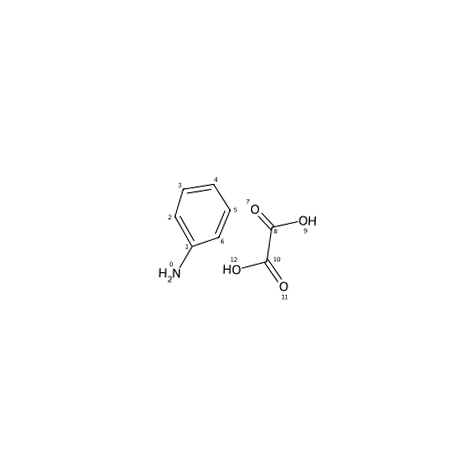 Nc1ccccc1.O=C(O)C(=O)O